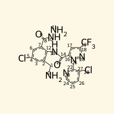 NCc1cc(Cl)cc(C(=O)NN)c1NC(=O)c1cc(C(F)(F)F)nn1-c1ncccc1Cl